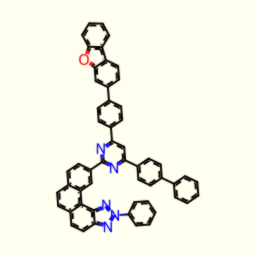 c1ccc(-c2ccc(-c3cc(-c4ccc(-c5ccc6c(c5)oc5ccccc56)cc4)nc(-c4ccc5ccc6ccc7nn(-c8ccccc8)nc7c6c5c4)n3)cc2)cc1